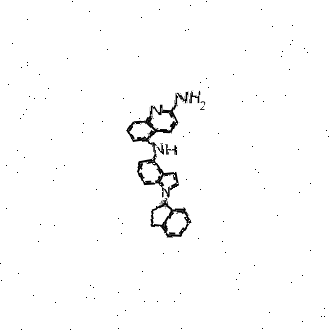 Nc1ccc2c(Nc3cccc4c3ccn4[C@@H]3CCc4ccccc43)cccc2n1